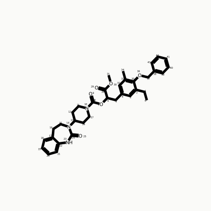 CCc1cc(CC(OC(=O)N2CCC(N3CCc4ccccc4NC3=O)CC2)C(=O)OC)cc(C)c1OCc1ccccc1